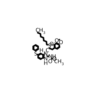 CCCCCCCC[S+]([O-])C(C)Cc1ccc2c(c1)OCO2.COC(=O)Nc1nc2cc(Sc3ccccc3)ccc2[nH]1